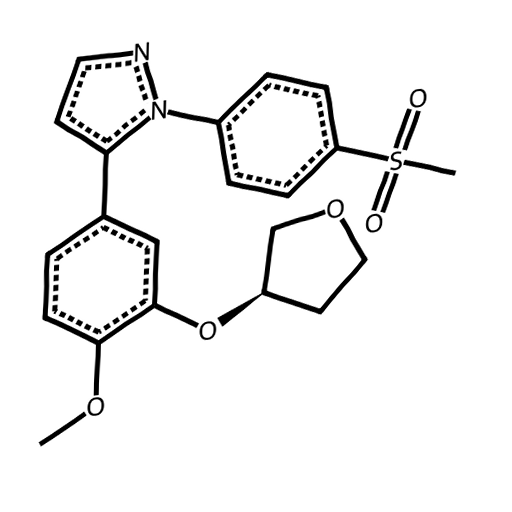 COc1ccc(-c2ccnn2-c2ccc(S(C)(=O)=O)cc2)cc1O[C@@H]1CCOC1